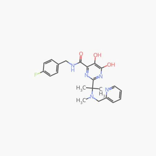 CN(Cc1ccccn1)C(C)(C)c1nc(O)c(O)c(C(=O)NCc2ccc(F)cc2)n1